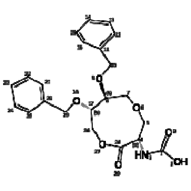 O=C(O)N[C@H]1COC[C@H](OCc2ccccc2)[C@@H](OCc2ccccc2)COC1=O